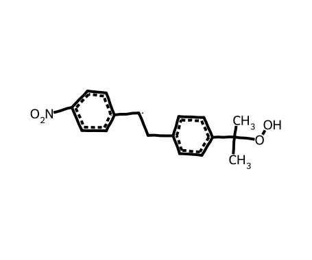 CC(C)(OO)c1ccc(C[CH]c2ccc([N+](=O)[O-])cc2)cc1